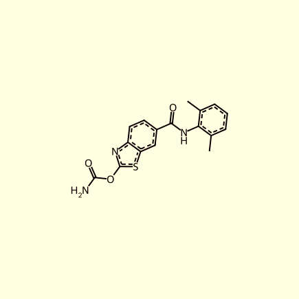 Cc1cccc(C)c1NC(=O)c1ccc2nc(OC(N)=O)sc2c1